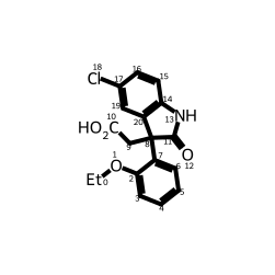 CCOc1ccccc1C1(CC(=O)O)C(=O)Nc2ccc(Cl)cc21